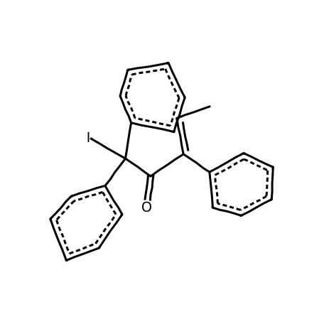 CC=C(C(=O)C(I)(c1ccccc1)c1ccccc1)c1ccccc1